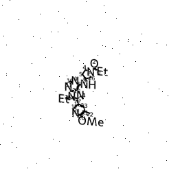 CCC(=O)N1CCC(Nc2ncnc3c2nc(-c2cnc(OC)c(C)c2)n3CC)C1